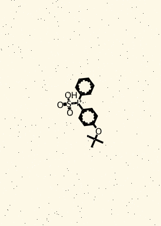 CC(C)(C)Oc1ccc([I+](c2ccccc2)S(=O)(=O)O)cc1